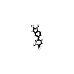 CN1N=C(c2ccc3c(c2)CC(=O)N3C)CCC1=O